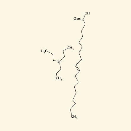 CCCCCCCCC=CCCCCCCCC(=O)O.CC[CH2][Sn]([CH2]CC)[CH2]CC